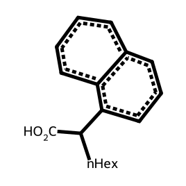 CCCCCCC(C(=O)O)c1cccc2ccccc12